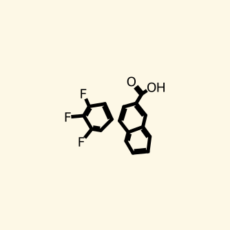 Fc1cccc(F)c1F.O=C(O)c1ccc2ccccc2c1